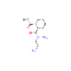 CC(=O)[C@H]1CCCC[C@H]1C(=O)N(N)CCN